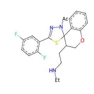 CCNCCC1COc2ccccc2C12SC(c1cc(F)ccc1F)=NN2C(C)=O